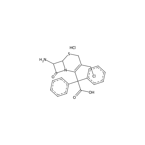 Cl.NC1C(=O)N2C(C(C(=O)O)(c3ccccc3)c3ccccc3)=C(CCl)CSC12